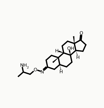 CC(N)CON=C1CC[C@@]2(C)[C@@H](CC[C@]3(O)[C@H]2CC[C@]2(C)C(=O)CC[C@@H]32)C1